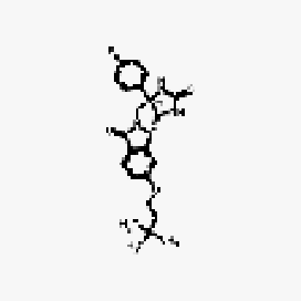 CC(C)(C)CCOc1ccc2c(c1)CN(C[C@@]1(c3ccc(F)cc3)NC(=O)NC1=O)C2=O